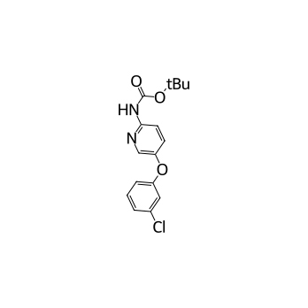 CC(C)(C)OC(=O)Nc1ccc(Oc2cccc(Cl)c2)cn1